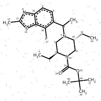 CC[C@H]1CN(C(C)c2ccc3nc(C)sc3c2F)[C@H](CC)CN1C(=O)OC(C)(C)C